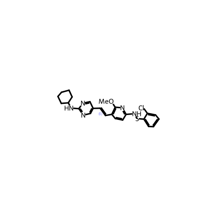 COc1nc(NSc2ccccc2Cl)ccc1/C=C/c1cnc(NC2CCCCC2)nc1